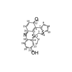 CC[Si]1(CC)C2=C(c3cccs3)C(=O)C=CC2=Nc2ccc(O)cc21